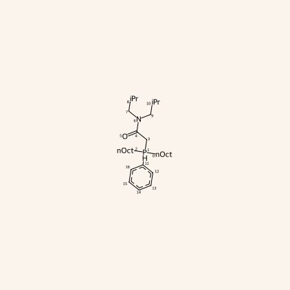 CCCCCCCC[PH](CCCCCCCC)(CC(=O)N(CC(C)C)CC(C)C)c1ccccc1